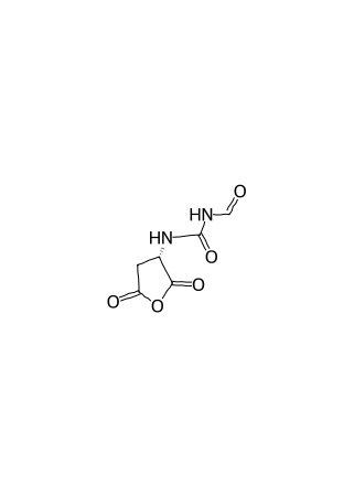 O=CNC(=O)N[C@H]1CC(=O)OC1=O